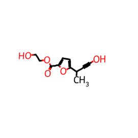 CC(C#CO)c1ccc(C(=O)OCCO)o1